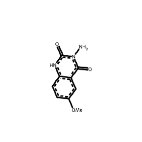 COc1ccc2[nH]c(=O)n(N)c(=O)c2c1